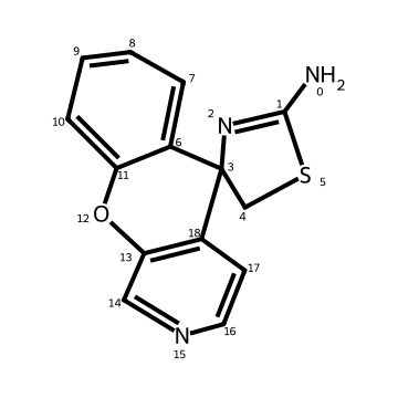 NC1=NC2(CS1)c1ccccc1Oc1cnccc12